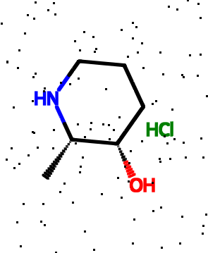 C[C@@H]1NCCC[C@@H]1O.Cl